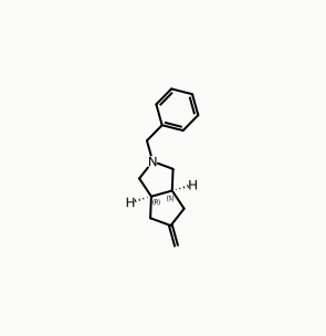 C=C1C[C@@H]2CN(Cc3ccccc3)C[C@@H]2C1